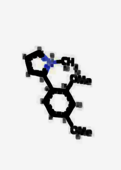 COc1ccc(-c2cc[c]n2C)c(OC)c1